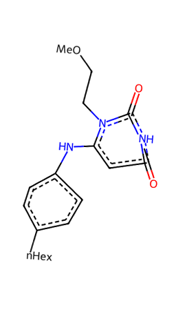 CCCCCCc1ccc(Nc2cc(=O)[nH]c(=O)n2CCOC)cc1